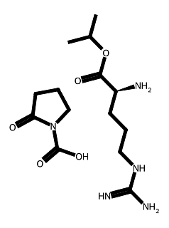 CC(C)OC(=O)[C@@H](N)CCCNC(=N)N.O=C(O)N1CCCC1=O